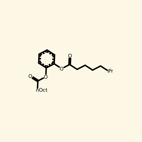 CCCCCCCCC(=O)Oc1ccccc1OC(=O)CCCCC(C)C